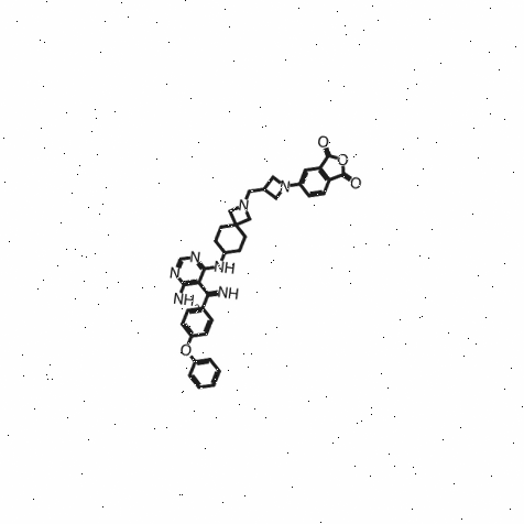 N=C(c1ccc(Oc2ccccc2)cc1)c1c(N)ncnc1NC1CCC2(CC1)CN(CC1CN(c3ccc4c(c3)C(=O)OC4=O)C1)C2